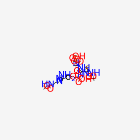 CC(C)(C)OC(=O)NCCCn1cc(-c2ccc(OCC(ON=C(C(=O)NC3C(=O)N(OS(=O)(=O)O)C3(C)C)c3csc(NC(=O)OC(C)(C)C)n3)C(=O)O)cc2)c(N)n1